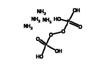 N.N.N.N.O=P(O)(O)OOP(=O)(O)O